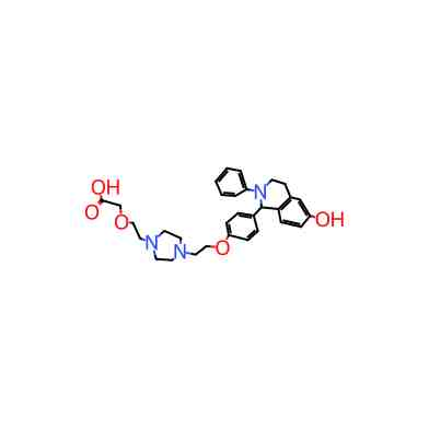 O=C(O)COCCN1CCN(CCOc2ccc(C3c4ccc(O)cc4CCN3c3ccccc3)cc2)CC1